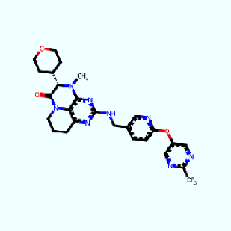 CN1c2nc(NCc3ccc(Oc4cnc(C(F)(F)F)nc4)nc3)nc3c2N(CCC3)C(=O)[C@@H]1C1CCOCC1